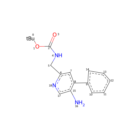 CC(C)(C)OC(=O)NCc1cc(-c2ccccc2)c(N)cn1